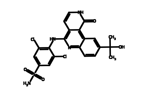 CC(C)(O)c1ccc2nc(Nc3c(Cl)cc(S(N)(=O)=O)cc3Cl)c3cc[nH]c(=O)c3c2c1